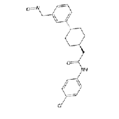 O=NCc1cccc([C@H]2CC[C@H](CC(=O)Nc3ccc(Cl)cc3)CC2)c1